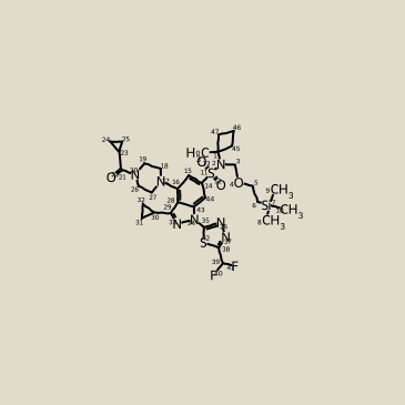 CC1(N(COCC[Si](C)(C)C)S(=O)(=O)c2cc(N3CCN(C(=O)C4CC4)CC3)c3c(C4CC4)nn(-c4nnc(C(F)F)s4)c3c2)CCC1